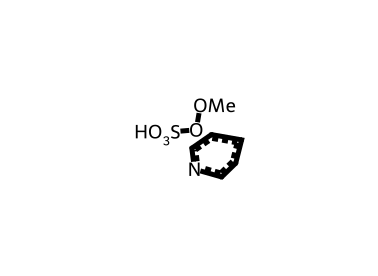 COOS(=O)(=O)O.c1ccncc1